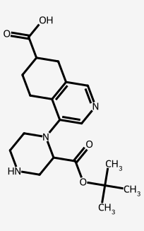 CC(C)(C)OC(=O)C1CNCCN1c1cncc2c1CCC(C(=O)O)C2